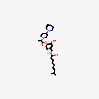 COc1cc(CNC(=O)CCCC/C=C/C(C)C)ccc1OC(=O)C(C)N1CCC(N2CCCCC2)CC1